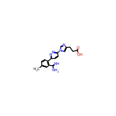 Cc1ccc(-c2ccc(-n3cnc(CCC(=O)O)c3)nn2)c(C(=N)N)c1